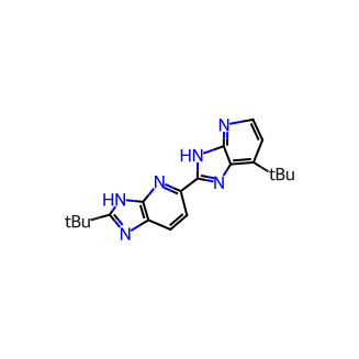 CC(C)(C)c1nc2ccc(-c3nc4c(C(C)(C)C)ccnc4[nH]3)nc2[nH]1